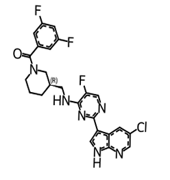 O=C(c1cc(F)cc(F)c1)N1CCC[C@H](CNc2nc(-c3c[nH]c4ncc(Cl)cc34)ncc2F)C1